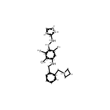 Fc1cc(NCc2ccccc2CN2CCC2)c(Cl)c(F)c1SNc1ncns1